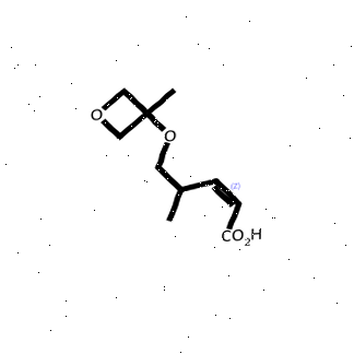 CC(/C=C\C(=O)O)COC1(C)COC1